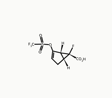 O=C(O)[C@@]1(F)[C@@H]2CC=C(OS(=O)(=O)C(F)(F)F)[C@@H]21